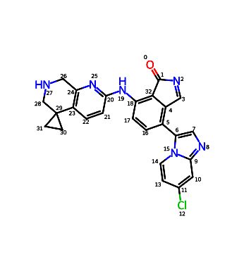 O=C1N=Cc2c(-c3cnc4cc(Cl)ccn34)ccc(Nc3ccc4c(n3)CNCC43CC3)c21